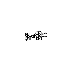 CCCCCC(=O)C1(C(=O)CCCCC)c2ccccc2N(c2ccc(-c3nc(C(C)(C)C)nc(C(C)(C)C)n3)cc2)c2ccccc21